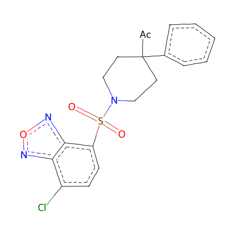 CC(=O)C1(c2ccccc2)CCN(S(=O)(=O)c2ccc(Cl)c3nonc23)CC1